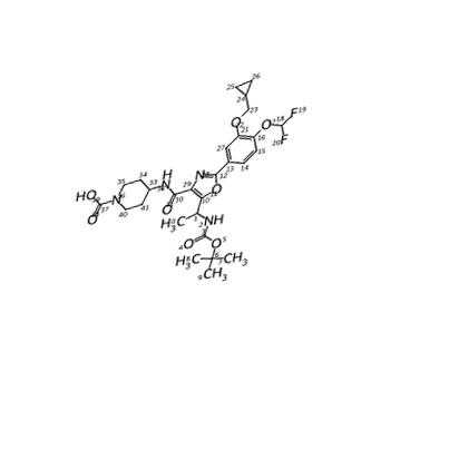 CC(NC(=O)OC(C)(C)C)c1oc(-c2ccc(OC(F)F)c(OCC3CC3)c2)nc1C(=O)NC1CCN(C(=O)O)CC1